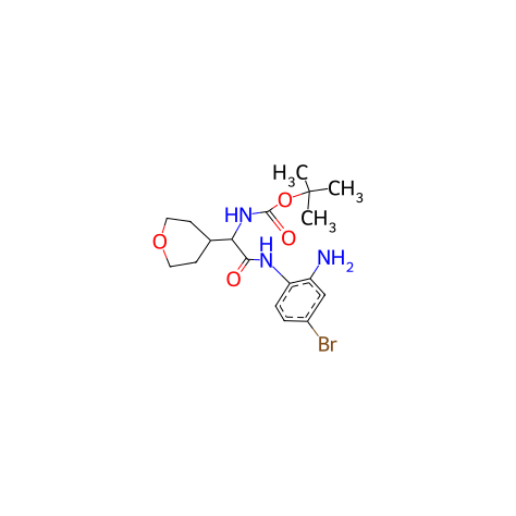 CC(C)(C)OC(=O)NC(C(=O)Nc1ccc(Br)cc1N)C1CCOCC1